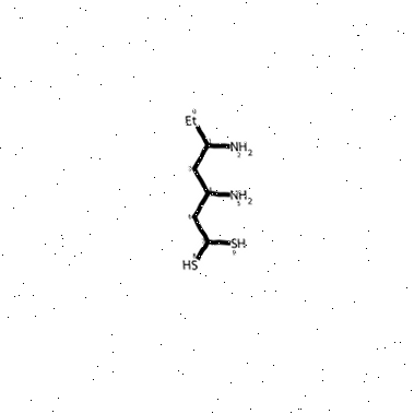 CCC(N)CC(N)CC(S)S